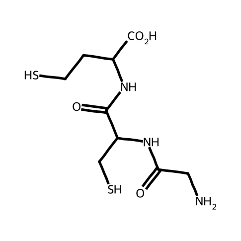 NCC(=O)NC(CS)C(=O)NC(CCS)C(=O)O